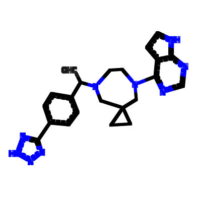 O=CC(c1ccc(-c2nn[nH]n2)cc1)N1CCN(c2ncnc3[nH]ccc23)CC2(CC2)C1